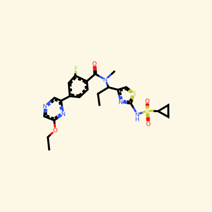 CCOc1cncc(-c2ccc(C(=O)N(C)C(CC)c3csc(NS(=O)(=O)C4CC4)n3)c(F)c2)n1